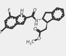 COC(=O)C[C@@H]1c2ccccc2C[C@H]1NC(=O)c1cc2cc(Cl)cc(F)c2[nH]1